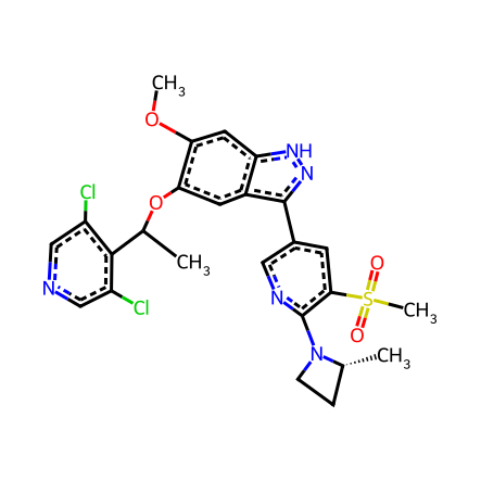 COc1cc2[nH]nc(-c3cnc(N4CC[C@H]4C)c(S(C)(=O)=O)c3)c2cc1OC(C)c1c(Cl)cncc1Cl